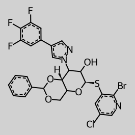 OC1C(n2cc(-c3cc(F)c(F)c(F)c3)cn2)[C@H]2OC(c3ccccc3)OCC2O[C@@H]1Sc1cc(Cl)cnc1Br